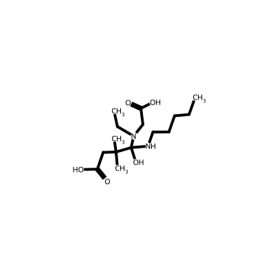 CCCCCNC(O)(N(CC)CC(=O)O)C(C)(C)CC(=O)O